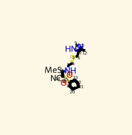 CSC(NCCSCc1[nH]cnc1C)=C(C#N)S(=O)(=O)c1ccccc1